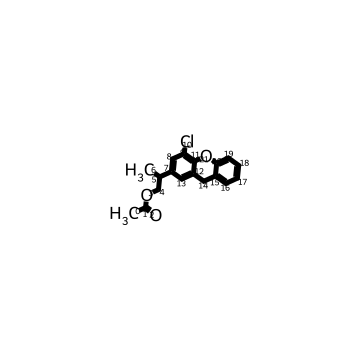 CC(=O)OCC(C)c1cc(Cl)c2c(c1)Cc1ccccc1O2